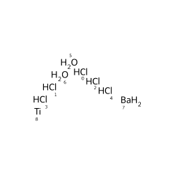 Cl.Cl.Cl.Cl.Cl.O.O.[BaH2].[Ti]